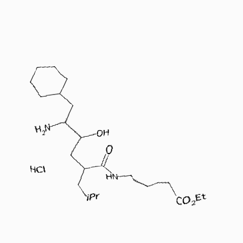 CCOC(=O)CCCNC(=O)C(CC(C)C)CC(O)C(N)CC1CCCCC1.Cl